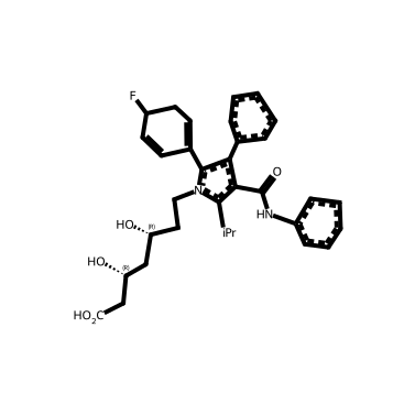 CC(C)c1c(C(=O)Nc2ccccc2)c(-c2ccccc2)c(C2=CCC(F)C=C2)n1CC[C@@H](O)C[C@@H](O)CC(=O)O